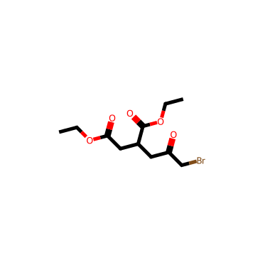 CCOC(=O)CC(CC(=O)CBr)C(=O)OCC